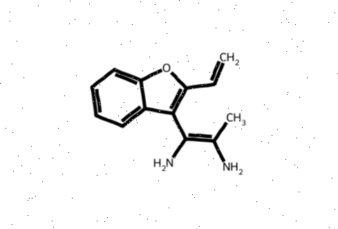 C=Cc1oc2ccccc2c1/C(N)=C(\C)N